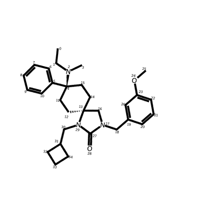 CCN(C)[C@]1(c2ccccc2)CC[C@]2(CC1)CN(Cc1cccc(OC)c1)C(=O)N2CC1CCC1